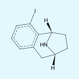 Ic1cccc2c1[C@@H]1CC[C@H](C2)N1